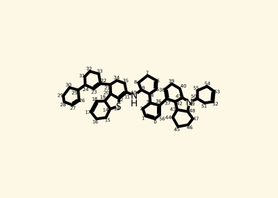 C1=CCC(C2C=CCCC2NC2=C3SC4CCC=CC4C3C(C3=CC(C4C=CCCC4)CCC3)CC2)C(C2=CCCC3C2C2CCCCC2N3C2CC=CCC2)=C1